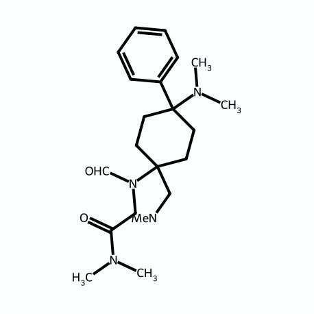 CNCC1(N(C=O)CC(=O)N(C)C)CCC(c2ccccc2)(N(C)C)CC1